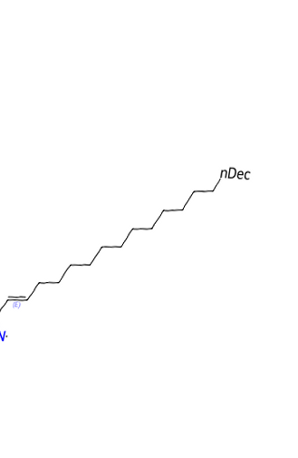 CCCCCCCCCCCCCCCCCCCCCC/C=C/C1=CC=C[N]1